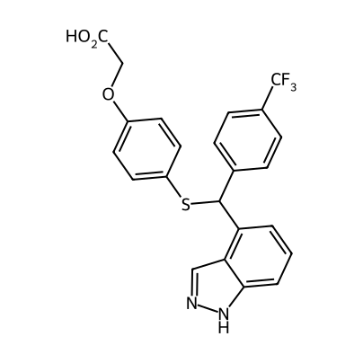 O=C(O)COc1ccc(SC(c2ccc(C(F)(F)F)cc2)c2cccc3[nH]ncc23)cc1